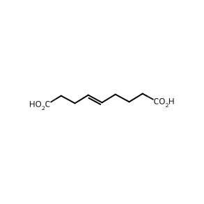 O=C(O)CC/C=C/CCCC(=O)O